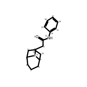 O=C(CCP1C2CCCC1CCC2)Nc1ccccc1